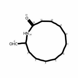 O=CC1CCCCCCCCCCC(=O)N1